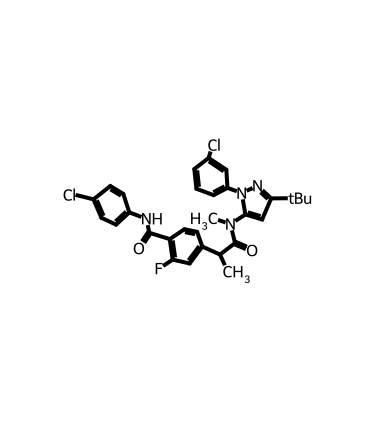 CC(C(=O)N(C)c1cc(C(C)(C)C)nn1-c1cccc(Cl)c1)c1ccc(C(=O)Nc2ccc(Cl)cc2)c(F)c1